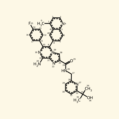 Cc1ccnc2ccc(-c3c(-c4ccc(F)cc4)nc(N)c4nc(C(=O)NCc5cccc(C(C)(C)O)n5)cn34)cc12